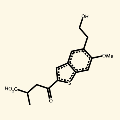 COc1cc2sc(C(=O)CC(C)C(=O)O)cc2cc1CCO